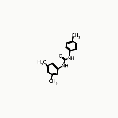 Cc1ccc(NC(=O)Nc2cc(C)cc(C)c2)cc1